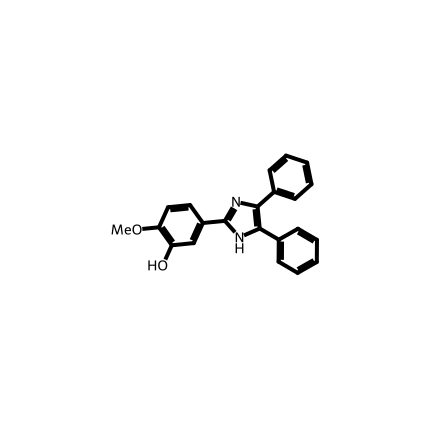 COc1ccc(-c2nc(-c3ccccc3)c(-c3ccccc3)[nH]2)cc1O